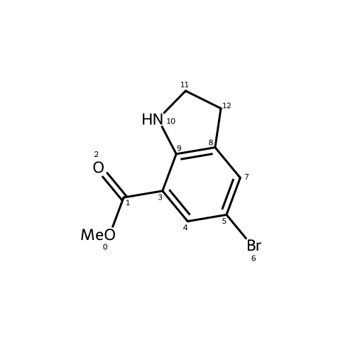 COC(=O)c1cc(Br)cc2c1NCC2